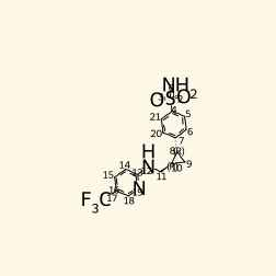 NS(=O)(=O)c1ccc([C@@H]2C[C@H]2CNc2ccc(C(F)(F)F)cn2)cc1